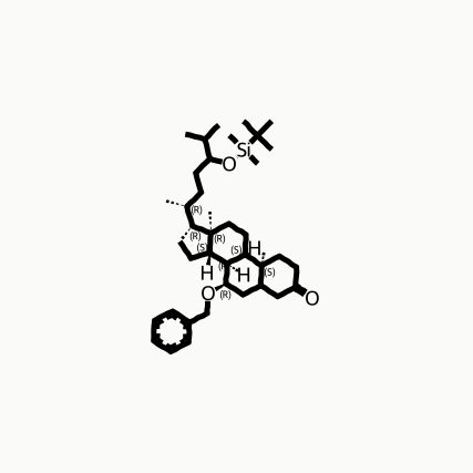 CC(C)C(CC[C@@H](C)[C@H]1CC[C@H]2[C@@H]3[C@H](OCc4ccccc4)CC4CC(=O)CC[C@]4(C)[C@H]3CC[C@]12C)O[Si](C)(C)C(C)(C)C